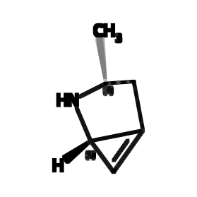 C[C@@H]1CC2=C[C@@H]2N1